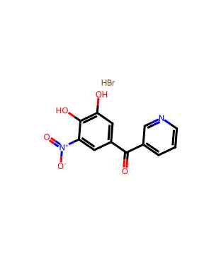 Br.O=C(c1cccnc1)c1cc(O)c(O)c([N+](=O)[O-])c1